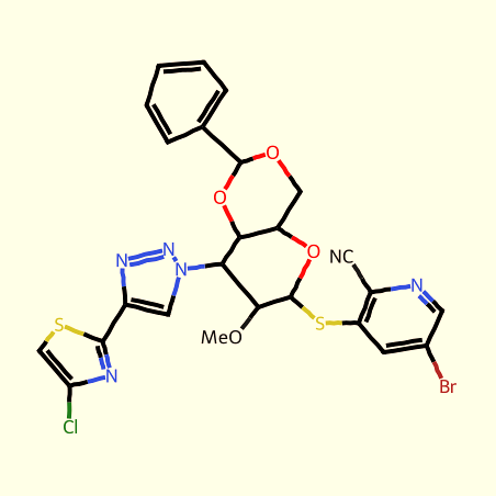 COC1C(Sc2cc(Br)cnc2C#N)OC2COC(c3ccccc3)OC2C1n1cc(-c2nc(Cl)cs2)nn1